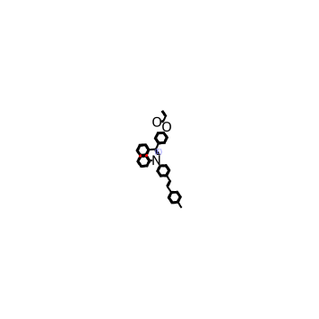 C=CC(=O)Oc1ccc(/C(=C/N(c2ccccc2)c2ccc(C=Cc3ccc(C)cc3)cc2)c2ccccc2)cc1